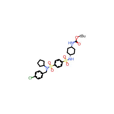 CC(C)(C)OC(=O)N[C@H]1CC[C@H](NS(=O)(=O)c2ccc(S(=O)(=O)N(Cc3ccc(Cl)cc3)C3CCCC3)cc2)CC1